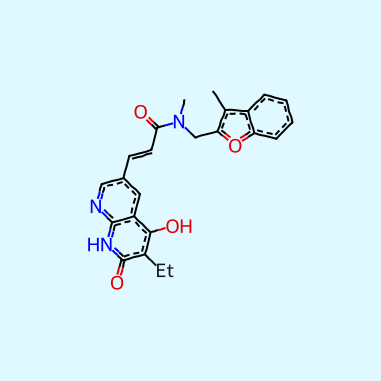 CCc1c(O)c2cc(C=CC(=O)N(C)Cc3oc4ccccc4c3C)cnc2[nH]c1=O